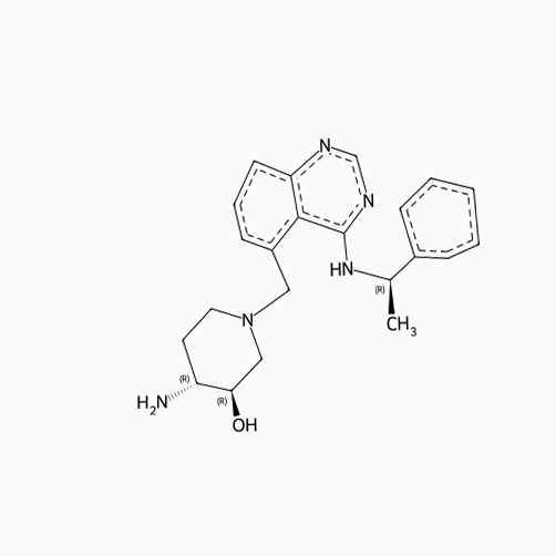 C[C@@H](Nc1ncnc2cccc(CN3CC[C@@H](N)[C@H](O)C3)c12)c1ccccc1